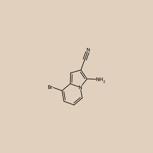 N#Cc1cc2c(Br)cccn2c1N